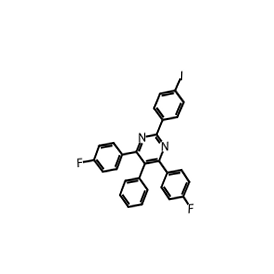 Fc1ccc(-c2nc(-c3ccc(I)cc3)nc(-c3ccc(F)cc3)c2-c2ccccc2)cc1